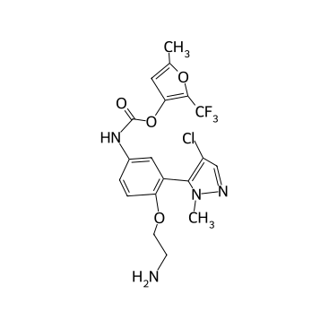 Cc1cc(OC(=O)Nc2ccc(OCCN)c(-c3c(Cl)cnn3C)c2)c(C(F)(F)F)o1